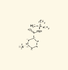 CC(C)(C)NC(=O)C1CCC[C@H](N)C1